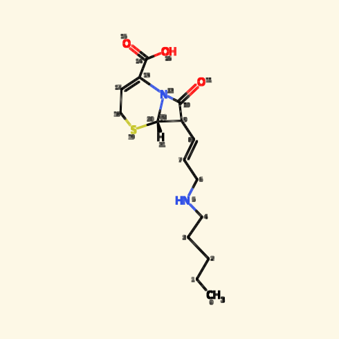 CCCCCNCC=CC1C(=O)N2C(C(=O)O)=CCS[C@@H]12